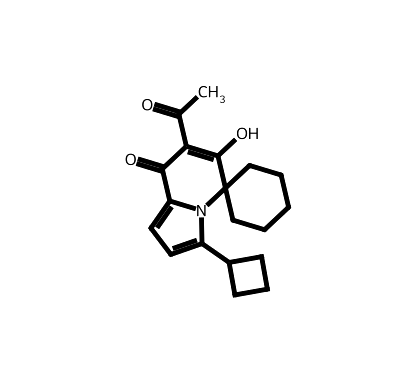 CC(=O)C1=C(O)C2(CCCCC2)n2c(ccc2C2CCC2)C1=O